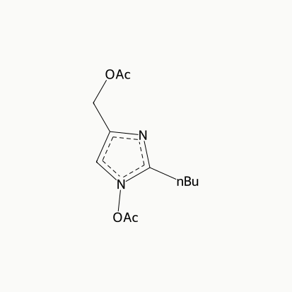 CCCCc1nc(COC(C)=O)cn1OC(C)=O